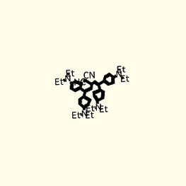 CCN(CC)c1ccc(C(=CC(C=C(c2ccc(N(CC)CC)cc2)c2ccc(N(CC)CC)cc2)C(C#N)C#N)c2ccc(N(CC)CC)cc2)cc1